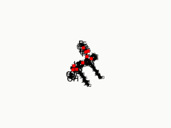 CCCCCCCCOc1cccc(I)c1-c1ccccc1.CCCCCCCCOc1cccc(I)c1-c1ccccc1.FC(F)(F)C(F)(F)C(F)(F)C(F)(F)F.O=S(=O)(O)O